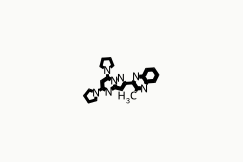 Cc1nc2ccccc2nc1-c1cc2nc(N3CCCC3)cc(N3CCCC3)n2n1